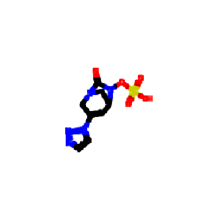 O=C1N2CC(n3ccnn3)=CC(C2)N1OS(=O)(=O)O